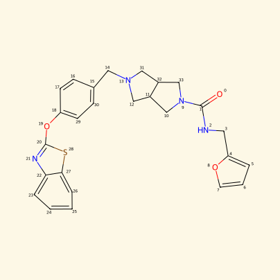 O=C(NCc1ccco1)N1CC2CN(Cc3ccc(Oc4nc5ccccc5s4)cc3)CC2C1